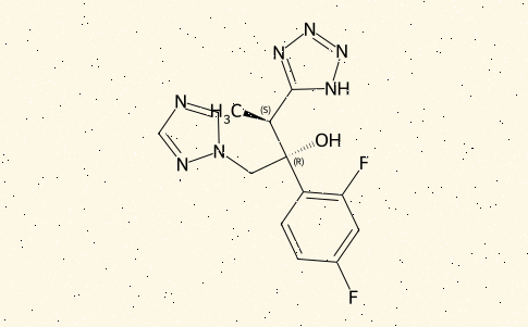 C[C@@H](c1nnn[nH]1)[C@](O)(Cn1cncn1)c1ccc(F)cc1F